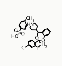 CC1(c2ccc(Cl)cc2F)Oc2ccccc2C(C2CCNCC2)O1.Cc1ccc(S(=O)(=O)O)cc1